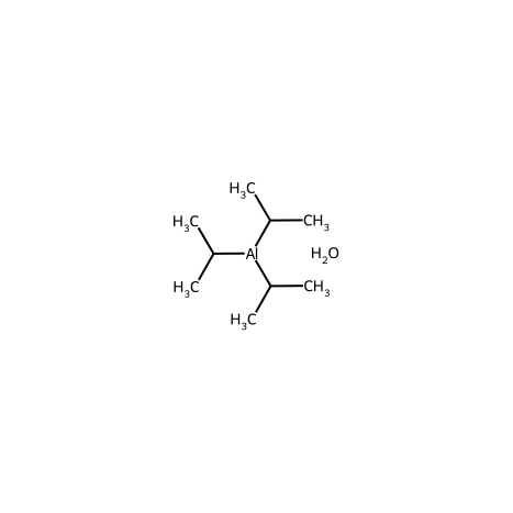 C[CH](C)[Al]([CH](C)C)[CH](C)C.O